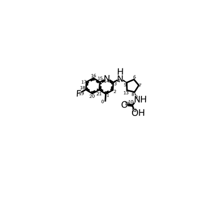 Cc1cc(N[C@H]2CC[C@H](NC(=O)O)C2)nc2ccc(F)cc12